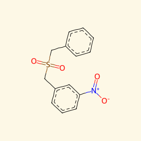 O=[N+]([O-])c1cccc(CS(=O)(=O)Cc2ccccc2)c1